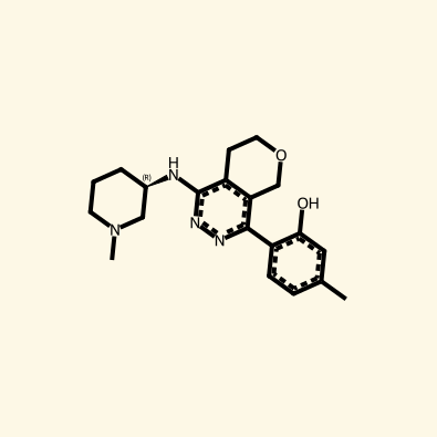 Cc1ccc(-c2nnc(N[C@@H]3CCCN(C)C3)c3c2COCC3)c(O)c1